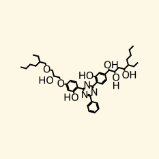 CCCCC(CC)COCC(O)COc1ccc(-c2nc(-c3ccccc3)nc(-c3ccc(C(O)C(O)CC(O)C(CC)CCCC)cc3O)n2)c(O)c1